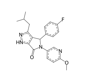 COc1ccc(N2C(=O)c3[nH]nc(CC(C)C)c3C2c2ccc(F)cc2)cn1